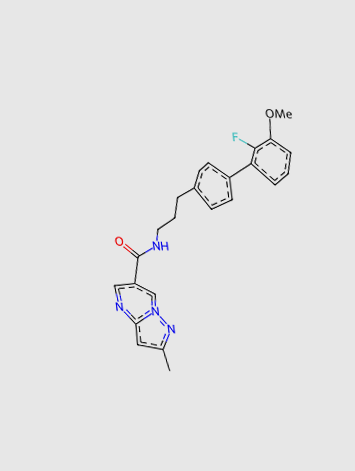 COc1cccc(-c2ccc(CCCNC(=O)c3cnc4cc(C)nn4c3)cc2)c1F